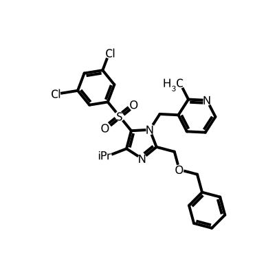 Cc1ncccc1Cn1c(COCc2ccccc2)nc(C(C)C)c1S(=O)(=O)c1cc(Cl)cc(Cl)c1